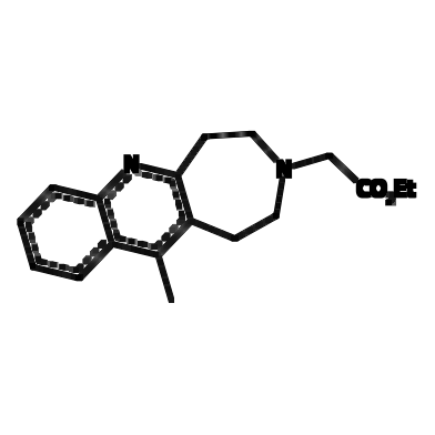 CCOC(=O)CN1CCc2nc3ccccc3c(C)c2CC1